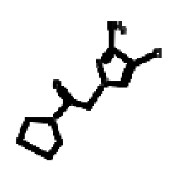 Nc1nn(CC(=O)N2CCCC2)cc1Cl